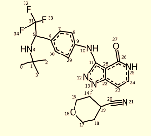 CC(C)(C)NC(c1ccc(Nc2nn([C@H]3COCCC3C#N)c3cc[nH]c(=O)c23)cc1)C(F)(F)F